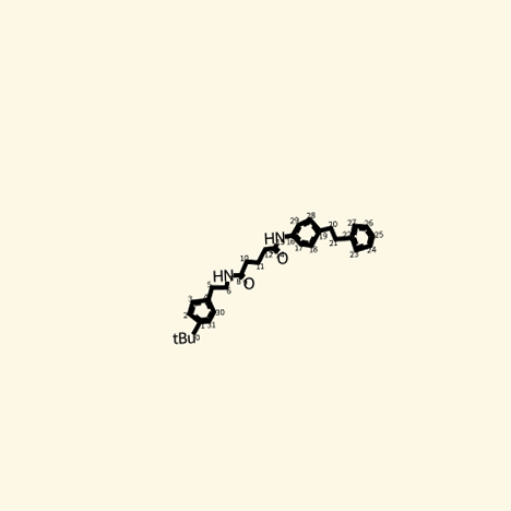 CC(C)(C)c1ccc(CCNC(=O)CCCC(=O)Nc2ccc(CCc3ccccc3)cc2)cc1